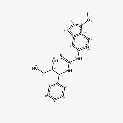 COc1n[nH]c2cc(NC(=O)NC(c3ccccc3)C(O)CO)ncc12